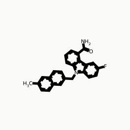 Cc1ccc2cc(Cn3c4ccc(F)[c]c4c4c(C(N)=O)cccc43)ccc2c1